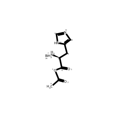 CC(=O)OC(=O)[C@@H](N)Cc1cnc[nH]1.[BiH3]